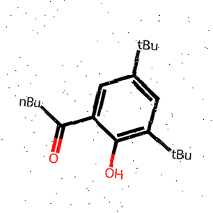 CCCCC(=O)c1cc(C(C)(C)C)cc(C(C)(C)C)c1O